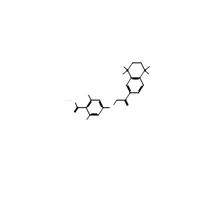 COC(=O)c1c(O)cc(OCC(=O)c2ccc3c(c2)C(C)(C)CCC3(C)C)cc1O